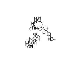 Cc1ccnc(N2CCC(CC(=O)Nc3ccc4cc3CCc3cncc(c3)Nc3ncc(Cl)c(n3)N4)CC2)c1.O=C(O)C(F)(F)F.O=C(O)C(F)(F)F.O=C(O)C(F)(F)F